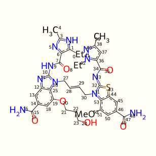 CCc1[nH]c(C)nc1C(=O)Nc1nc2cc(C(N)=O)cc(OCCCO)c2n1C/C=C/Cn1/c(=N/C(=O)c2cc(C)nn2CC)sc2cc(C(N)=O)cc(OC)c21